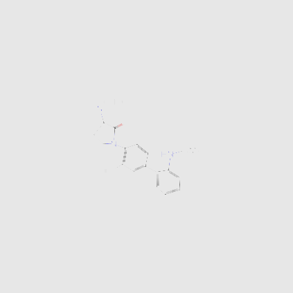 CSNc1ccccc1-c1ccc(N2CCC(NC=O)C2=O)c(C(C)C)c1